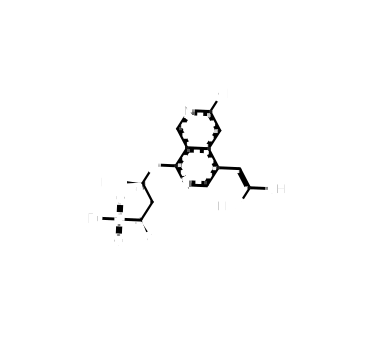 CCS(=O)(=O)[C@H](C)C[C@@H](C)Oc1ncc(C=C(C)C)c2cc(Cl)ncc12